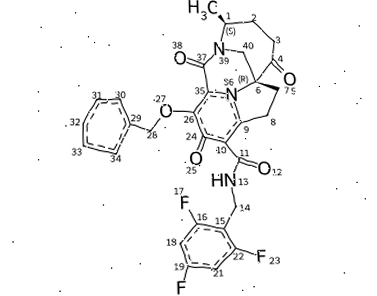 C[C@H]1CCC(=O)[C@]23CCc4c(C(=O)NCc5c(F)cc(F)cc5F)c(=O)c(OCc5ccccc5)c(n42)C(=O)N1C3